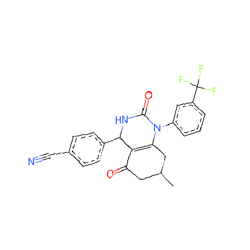 CC1CC(=O)C2=C(C1)N(c1cccc(C(F)(F)F)c1)C(=O)NC2c1ccc(C#N)cc1